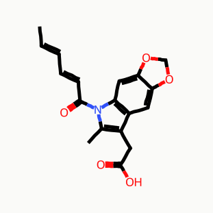 CC=CC=CC(=O)n1c(C)c(CC(=O)O)c2cc3c(cc21)OCO3